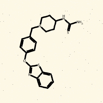 NC(=S)NC1CCN(Cc2ccc(Oc3nc4ccccc4s3)cc2)CC1